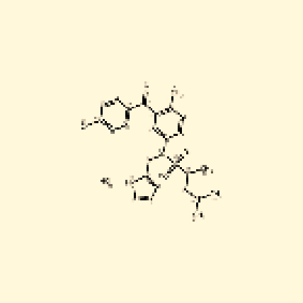 Cc1ccc(N(Cc2ccc[nH]2)S(=O)(=O)C(C)CN(C)C)cc1C(=O)c1ccc(Cl)cc1.Cl